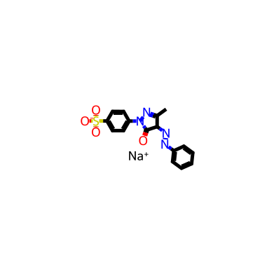 CC1=NN(c2ccc(S(=O)(=O)[O-])cc2)C(=O)C1N=Nc1ccccc1.[Na+]